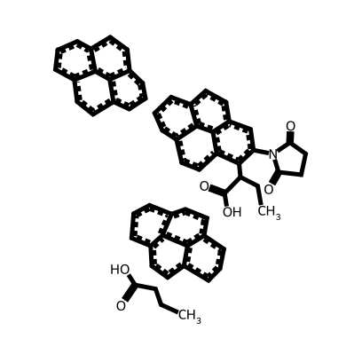 CCC(C(=O)O)c1c(N2C(=O)CCC2=O)cc2ccc3cccc4ccc1c2c34.CCCC(=O)O.c1cc2ccc3cccc4ccc(c1)c2c34.c1cc2ccc3cccc4ccc(c1)c2c34